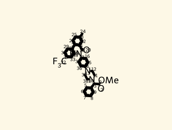 COC(=O)C(c1ccccc1)N1CCN(c2ccc(NC(=O)c3cc(C)ccc3-c3ccc(C(F)(F)F)cc3)cc2)CC1